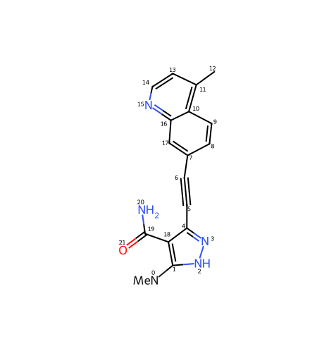 CNc1[nH]nc(C#Cc2ccc3c(C)ccnc3c2)c1C(N)=O